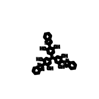 Oc1cc(N(c2cc(O)c(-n3nc4ccccc4n3)c(O)c2)c2cc(O)c(-n3nc4ccccc4n3)c(O)c2)cc(O)c1-c1cn2ccccc2n1